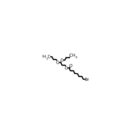 CCCCOC(CCOC(=O)CCCCCCCBr)OCCCC